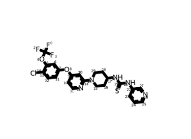 FC(F)(F)Oc1cc(Oc2ccnc(N3CCC(NC(=S)Nc4cccnc4)CC3)c2)ccc1Cl